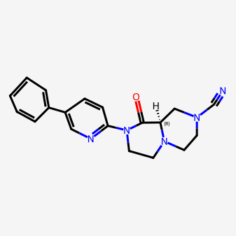 N#CN1CCN2CCN(c3ccc(-c4ccccc4)cn3)C(=O)[C@H]2C1